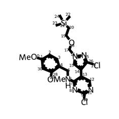 COc1ccc(CNc2nc(Cl)ncc2-c2cn(COCC[Si](C)(C)C)nc2Cl)c(OC)c1